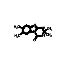 Cc1cc2nc3n(c2cc1C)C(=O)NC(C)(C)N3